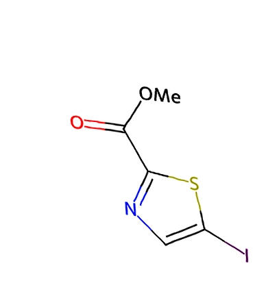 COC(=O)c1ncc(I)s1